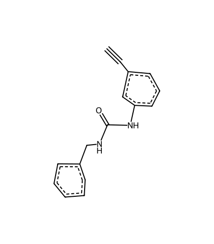 C#Cc1cccc(NC(=O)NCc2ccccc2)c1